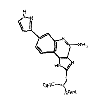 CCCCCN(C=O)Cc1nc2c(N)nc3cc(-c4cc[nH]n4)ccc3c2[nH]1